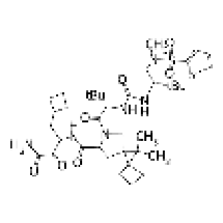 CN(C[C@@H](NC(=O)N[C@H](C(=O)N1C[C@]2(C[C@H]1C(=O)NC(CC1CCC1)C(=O)C(N)=O)C(C)(C)C21CCC1)C(C)(C)C)C(C)(C)C)S(=O)(=O)c1cccs1